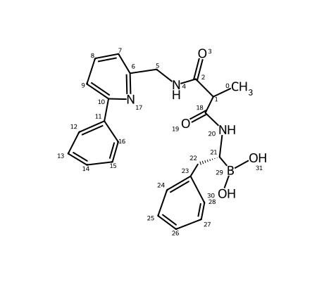 CC(C(=O)NCc1cccc(-c2ccccc2)n1)C(=O)N[C@@H](Cc1ccccc1)B(O)O